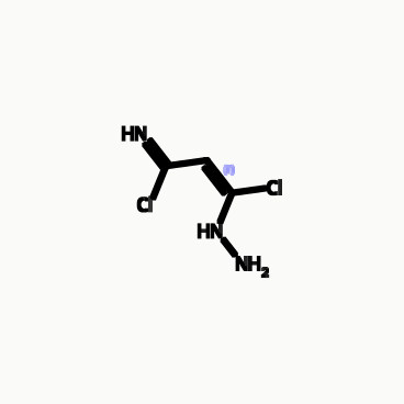 N=C(Cl)/C=C(/Cl)NN